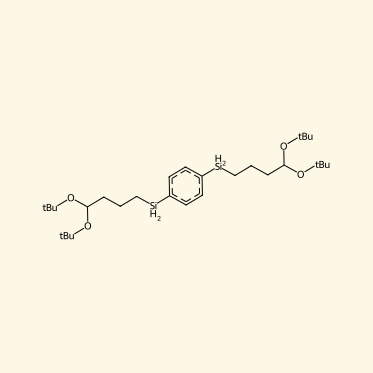 CC(C)(C)OC(CCC[SiH2]c1ccc([SiH2]CCCC(OC(C)(C)C)OC(C)(C)C)cc1)OC(C)(C)C